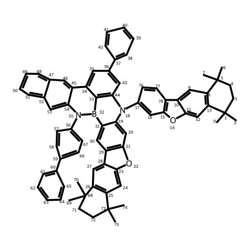 CC1(C)CCC(C)(C)c2cc3c(cc21)oc1cc(N2c4cc5oc6cc7c(cc6c5cc4B4c5c(cc(-c6ccccc6)cc52)-c2cc5ccccc5cc2N4c2ccc(-c4ccccc4)cc2)C(C)(C)CCC7(C)C)ccc13